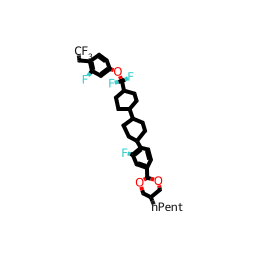 CCCCCC1COC(c2ccc(C3CCC(C4CCC(C(F)(F)Oc5ccc(CC(F)(F)F)c(F)c5)CC4)CC3)c(F)c2)OC1